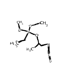 CC[Si](OC)(OC)OC(C)N=C=O